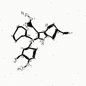 COC(=O)c1c(N(c2ccc(OC)c(F)c2)C2CCCC2)[nH]c2cc(C#N)ccc12